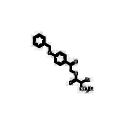 CCOC(=O)C(CC)C(=O)OCC(=O)c1ccc(OCc2ccccc2)cc1